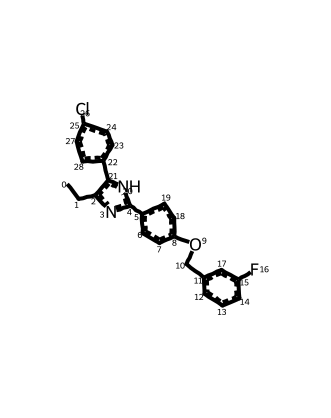 CCc1nc(-c2ccc(OCc3cccc(F)c3)cc2)[nH]c1-c1ccc(Cl)cc1